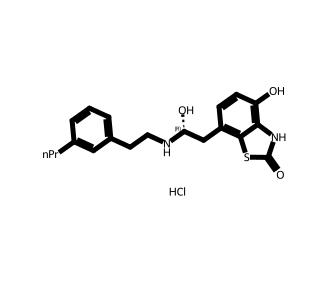 CCCc1cccc(CCN[C@H](O)Cc2ccc(O)c3[nH]c(=O)sc23)c1.Cl